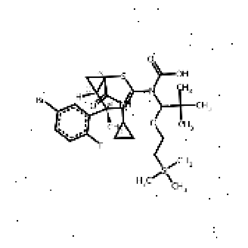 CC(C)(C)C(OCC[Si](C)(C)C)N(C(=O)O)C1=N[C@](C)(c2cc(Br)ccc2F)[C@@H]2C[C@]2(C(=O)NC2CC2)S1